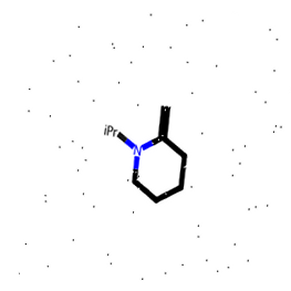 C=C1CCCCN1C(C)C